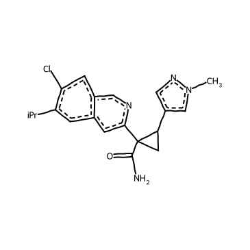 CC(C)c1cc2cc(C3(C(N)=O)CC3c3cnn(C)c3)ncc2cc1Cl